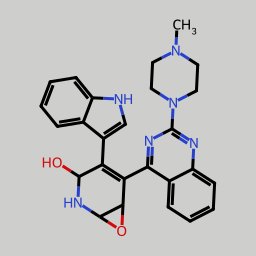 CN1CCN(c2nc(C3=C(c4c[nH]c5ccccc45)C(O)NC4OC34)c3ccccc3n2)CC1